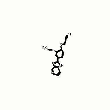 C#CCOc1ccc(-c2nc3cnccc3[nH]2)cc1OCC